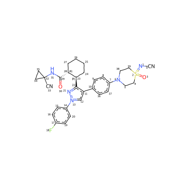 N#CN=S1(=O)CCN(c2ccc(-c3cn(-c4ccc(F)cc4)nc3[C@@H]3CCCC[C@H]3C(=O)NC3(C#N)CC3)cc2)CC1